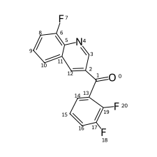 O=C(c1cnc2c(F)cccc2c1)c1cccc(F)c1F